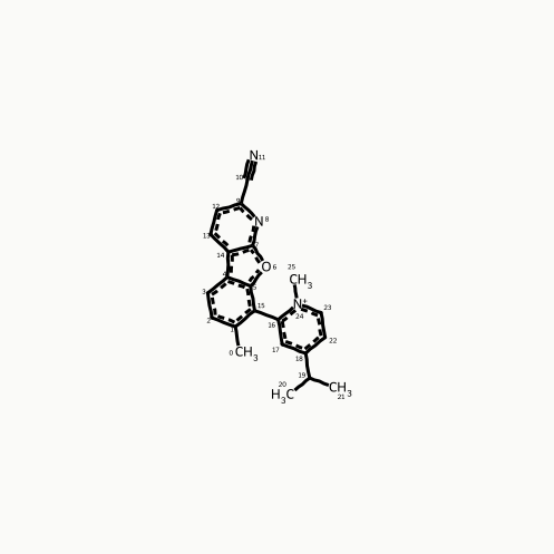 Cc1ccc2c(oc3nc(C#N)ccc32)c1-c1cc(C(C)C)cc[n+]1C